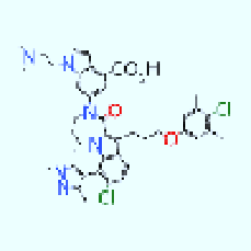 Cc1cc(OCCCc2c3n(c4c(-c5c(C)nn(C)c5C)c(Cl)ccc24)CCCN(c2cc(C(=O)O)c4ccn(CCN(C)C)c4c2)C3=O)cc(C)c1Cl